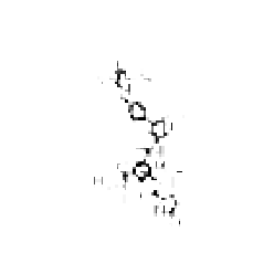 COc1c(NC(=O)C2CCC(=O)N2)cc(C(C)(C)C)cc1C(=O)Nc1cnc(C)c(-c2ccc(C(=O)NCC(C)(C)C)cc2)c1